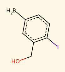 Bc1ccc(I)c(CO)c1